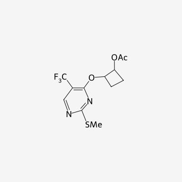 CSc1ncc(C(F)(F)F)c(OC2CCC2OC(C)=O)n1